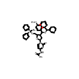 COc1ccc(C(OC(c2ccccc2)c2ccccc2)C2CC(n3ccc(NC(=O)C(C)(C)C)nc3=O)OC2CO[Si](c2ccccc2)(c2ccccc2)C(C)(C)C)cc1